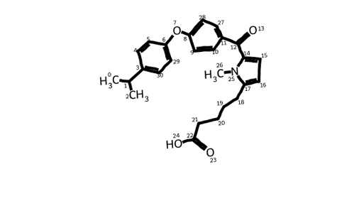 CC(C)c1ccc(Oc2ccc(C(=O)c3ccc(CCCCC(=O)O)n3C)cc2)cc1